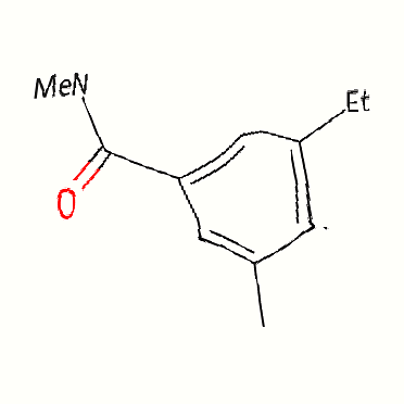 CCc1[c]c(C)cc(C(=O)NC)c1